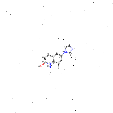 Cc1cc(-n2ccnc2C)cc2ccc(=O)[nH]c12